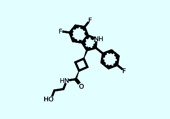 O=C(NCCO)[C@H]1C[C@@H](c2c(-c3ccc(F)cc3)[nH]c3c(F)cc(F)cc32)C1